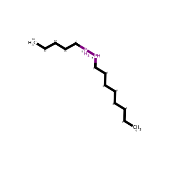 CCCCCCCCP[PH3]CCCCC